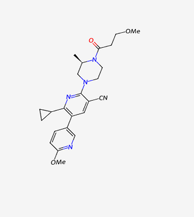 COCCC(=O)N1CCN(c2nc(C3CC3)c(-c3ccc(OC)nc3)cc2C#N)C[C@H]1C